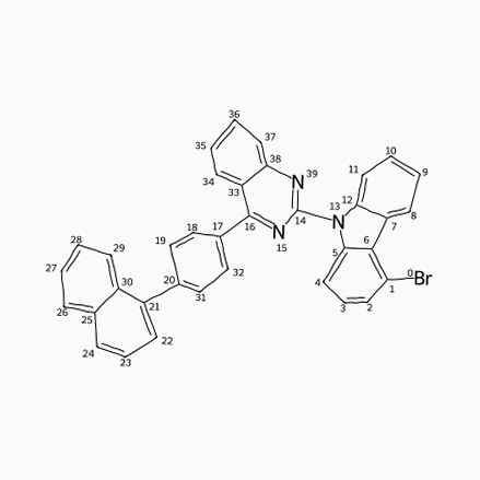 Brc1cccc2c1c1ccccc1n2-c1nc(-c2ccc(-c3cccc4ccccc34)cc2)c2ccccc2n1